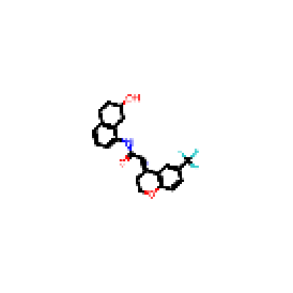 O=C(/C=C1\CCOc2ccc(C(F)(F)F)cc21)Nc1cccc2c1CC(O)CC2